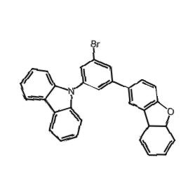 Brc1cc(-c2ccc3c(c2)C2C=CC=CC2O3)cc(-n2c3ccccc3c3ccccc32)c1